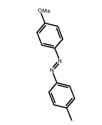 [CH2]c1ccc(N=Nc2ccc(OC)cc2)cc1